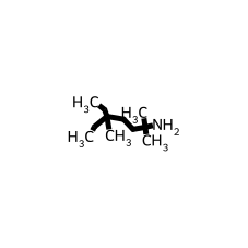 CCC(C)(CC)CCC(C)(C)N